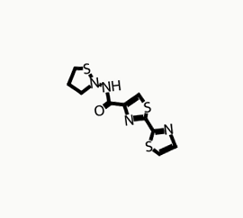 O=C(NN1CCCS1)c1csc(-c2nccs2)n1